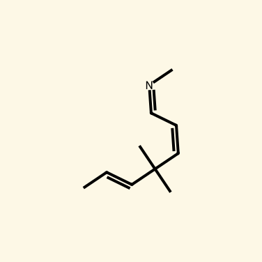 C/C=C/C(C)(C)/C=C\C=N/C